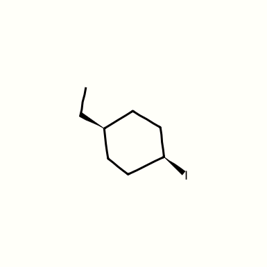 CC[C@H]1CC[C@@H](I)CC1